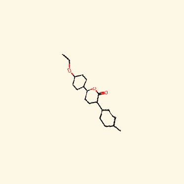 CCOC1CCC(C2CCC(C3CCC(C)CC3)C(=O)O2)CC1